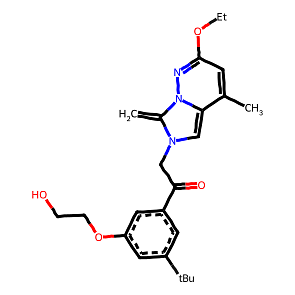 C=C1N(CC(=O)c2cc(OCCO)cc(C(C)(C)C)c2)C=C2C(C)=CC(OCC)=NN12